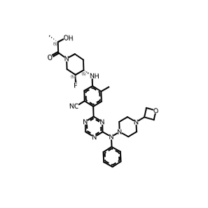 Cc1cc(-c2ncnc(N(c3ccccc3)N3CCN(C4COC4)CC3)n2)c(C#N)cc1N[C@H]1CCN(C(=O)[C@H](C)O)C[C@@H]1F